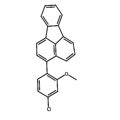 COc1cc(Cl)ccc1-c1ccc2c3c(cccc13)-c1ccccc1-2